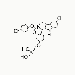 O=C(Oc1ccc(Cl)cc1)N1CCC2=C(NC3=CC=C(Cl)CC32)C1C1=CCC(OCC[C@H](O)CO)C=C1